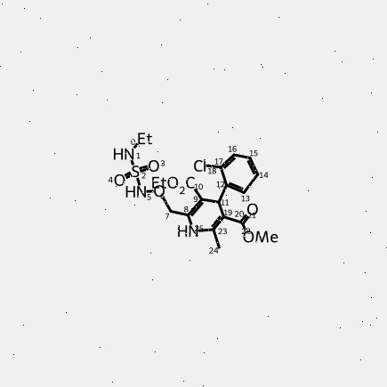 CCNS(=O)(=O)NOCC1=C(C(=O)OCC)C(c2ccccc2Cl)C(C(=O)OC)=C(C)N1